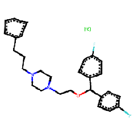 Cl.Fc1ccc(C(OCCN2CCN(CCCc3ccccc3)CC2)c2ccc(F)cc2)cc1